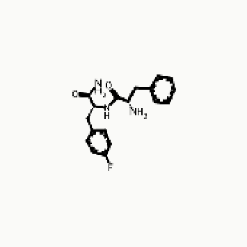 NC(=O)[C@H](Cc1ccc(F)cc1)NC(=O)[C@@H](N)Cc1ccccc1